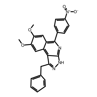 COc1cc2c(-c3ccc([N+](=O)[O-])cc3)nc3[nH]nc(Cc4ccccc4)c3c2cc1OC